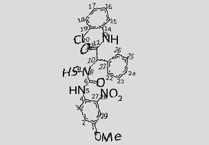 COc1ccc(NC(=O)N(S)C(C(=O)Nc2ccccc2Cl)c2ccccc2)c([N+](=O)[O-])c1